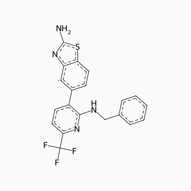 Nc1nc2[c]c(-c3ccc(C(F)(F)F)nc3NCc3ccccc3)ccc2s1